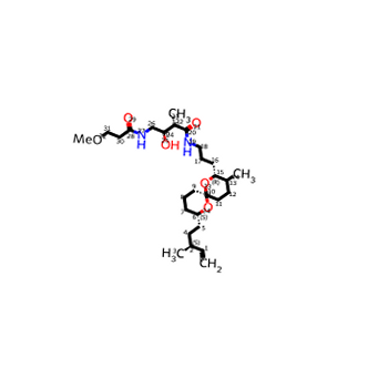 C=C[C@@H](C)CC[C@@H]1CCC[C@]2(CCC(C)[C@@H](CCCNC(=O)[C@@H](C)[C@@H](O)CNC(=O)CCOC)O2)O1